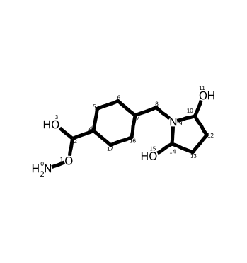 NOC(O)C1CCC(CN2C(O)CCC2O)CC1